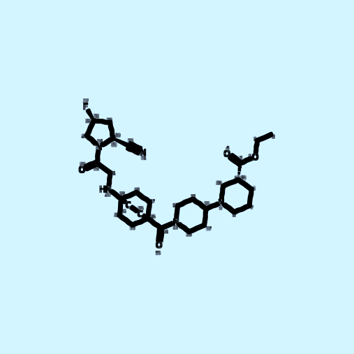 CCOC(=O)[C@@H]1CCCN(C2CCN(C(=O)C34CCC(NCC(=O)N5C[C@@H](F)C[C@H]5C#N)(CC3)CC4)CC2)C1